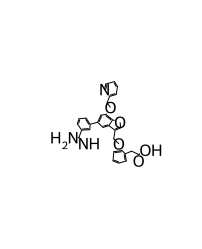 N=C(N)c1cccc(-c2cc(OCc3ccccn3)c3occ(COc4ccccc4CC(=O)O)c3c2)c1